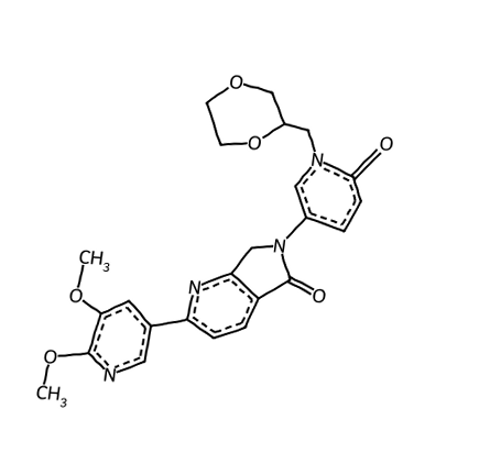 COc1cc(-c2ccc3c(n2)CN(c2ccc(=O)n(CC4COCCO4)c2)C3=O)cnc1OC